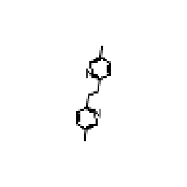 Cc1ccc(CCc2ccc(C)cn2)nc1